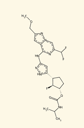 COCc1cc2c(Nc3cc([C@@H]4CC[C@H](OC(=O)NC(C)C)[C@H]4F)[nH]n3)nc(C(F)F)cn2n1